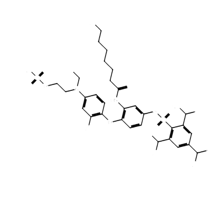 CCCCCCCC(=O)Nc1cc(NS(=O)(=O)c2c(C(C)C)cc(C(C)C)cc2C(C)C)ccc1Nc1ccc(N(CC)CCNS(C)(=O)=O)cc1C